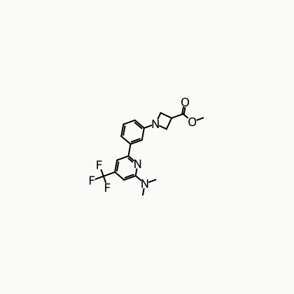 COC(=O)C1CN(c2cccc(-c3cc(C(F)(F)F)cc(N(C)C)n3)c2)C1